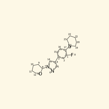 Fc1cc(-c2cnn(C3CCCCO3)c2)ccc1N1CC[CH]CC1